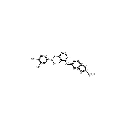 N#Cc1ccc(N2CCc3c(ncnc3Nc3ccc4cn(C(=O)O)cc4c3)C2)cc1Cl